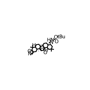 CC1(C)CC[C@]2(/C=N/NC(=O)OC(C)(C)C)CC[C@]3(C)[C@H](C(=O)C=C4[C@@]5(C)Cc6cnoc6C(C)(C)[C@@H]5CC[C@]43C)[C@@H]2C1